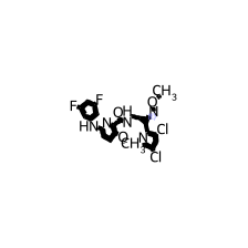 CCO/N=C1\C(CNC(=O)c2nc(Nc3cc(F)cc(F)c3)ccc2OC)C1c1ncc(Cl)cc1Cl